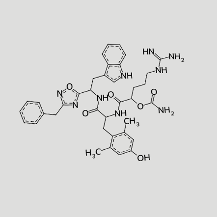 Cc1cc(O)cc(C)c1CC(NC(=O)C(CCCNC(=N)N)OC(N)=O)C(=O)NC(Cc1c[nH]c2ccccc12)c1nc(Cc2ccccc2)no1